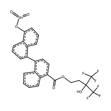 O=C(OCCC(O)(C(F)(F)F)C(F)(F)F)c1ccc(-c2cccc3c(O[SH](=O)=O)cccc23)c2ccccc12